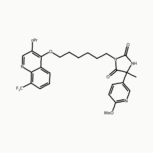 CCCc1cnc2c(C(F)(F)F)cccc2c1OCCCCCCN1C(=O)NC(C)(c2ccc(OC)nc2)C1=O